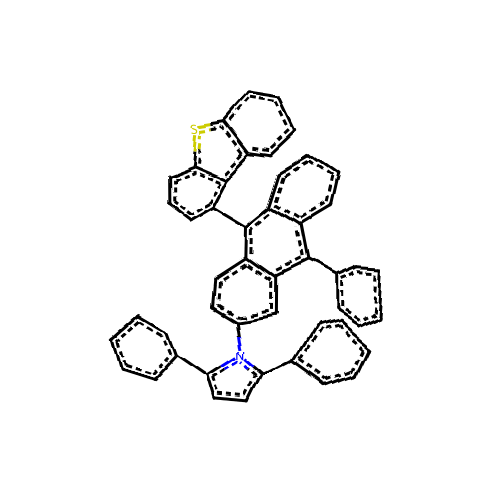 c1ccc(-c2c3ccccc3c(-c3cccc4sc5ccccc5c34)c3ccc(-n4c(-c5ccccc5)ccc4-c4ccccc4)cc23)cc1